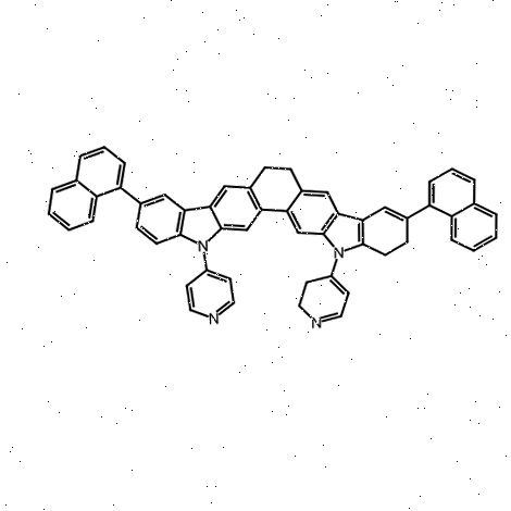 C1=NCCC(n2c3c(c4cc5c(cc42)-c2cc4c(cc2CC5)c2cc(-c5cccc6ccccc56)ccc2n4-c2ccncc2)C=C(c2cccc4ccccc24)CC3)=C1